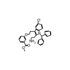 COC(=O)c1cccc(OCCc2c(CCN)n(C(c3ccccc3)c3ccccc3)c3ccc(Cl)cc23)c1